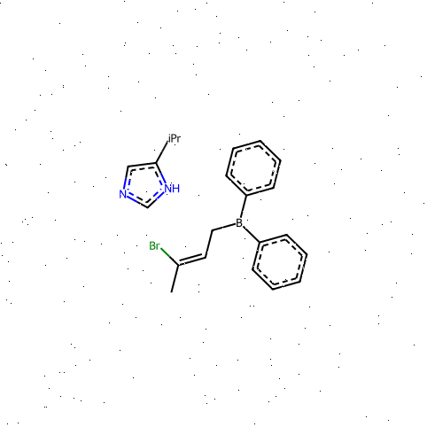 CC(Br)=CCB(c1ccccc1)c1ccccc1.CC(C)c1cnc[nH]1